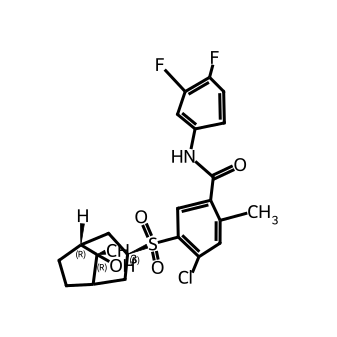 Cc1cc(Cl)c(S(=O)(=O)[C@H]2CC3CC[C@H](C2)[C@]3(C)O)cc1C(=O)Nc1ccc(F)c(F)c1